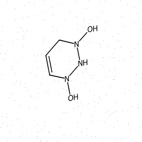 ON1C=CCN(O)N1